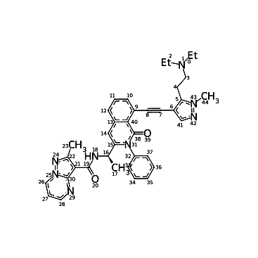 CCN(CC)CCc1c(C#Cc2cccc3cc([C@@H](C)NC(=O)c4c(C)nn5cccnc45)n(-c4ccccc4)c(=O)c23)cnn1C